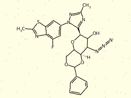 Cc1nc([C@@H]2OC3COC(c4ccccc4)O[C@@H]3C(N=[N+]=[N-])C2O)n(-c2cc(F)c3nc(C)sc3c2)n1